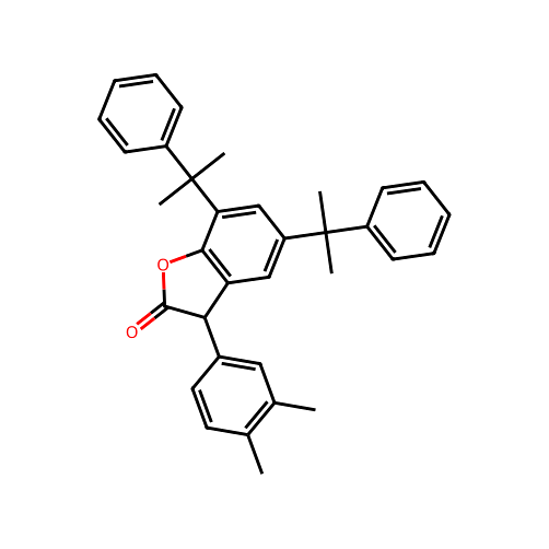 Cc1ccc(C2C(=O)Oc3c2cc(C(C)(C)c2ccccc2)cc3C(C)(C)c2ccccc2)cc1C